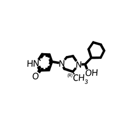 C[C@@H]1CN(c2cc[nH]c(=O)c2)CCN1C(O)C1CCCCC1